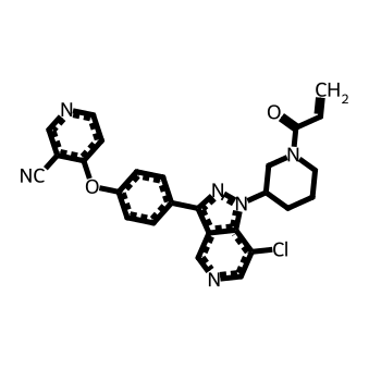 C=CC(=O)N1CCCC(n2nc(-c3ccc(Oc4ccncc4C#N)cc3)c3cncc(Cl)c32)C1